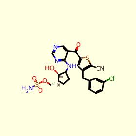 N#Cc1sc(C(=O)c2cncnc2NC2CC[C@H](COS(N)(=O)=O)[C@H]2O)cc1Cc1cccc(Cl)c1